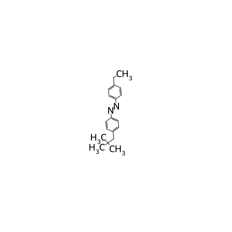 CCc1ccc(/N=N/c2ccc(CC(C)(C)C)cc2)cc1